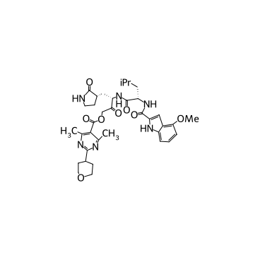 COc1cccc2[nH]c(C(=O)N[C@@H](CC(C)C)C(=O)N[C@@H](C[C@@H]3CCNC3=O)C(=O)COC(=O)c3c(C)nc(C4CCOCC4)nc3C)cc12